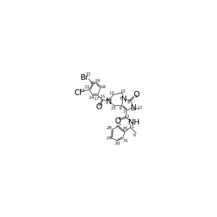 CC(NC(=O)c1c2n(c(=O)n1C)CCN(C(=O)c1ccc(Br)c(Cl)c1)C2)c1ccccc1